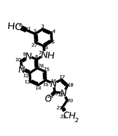 C#Cc1cccc(Nc2ncnc3ccc(-n4ccn(CC=C)c4=O)cc23)c1